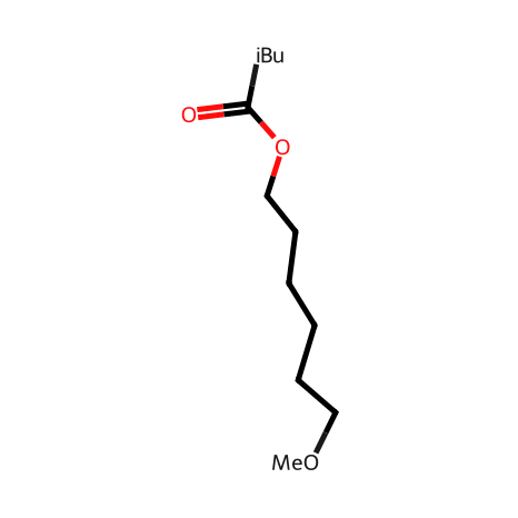 CCC(C)C(=O)OCCCCCCOC